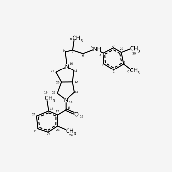 Cc1ccc(NCC(C)CN2CC3CN(C(=O)c4c(C)cccc4C)CC3C2)cc1C